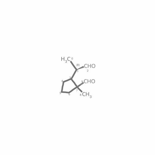 C[C@@H](C=O)C1CCCC1(C)C=O